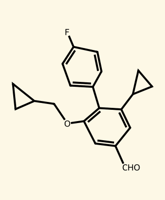 O=Cc1cc(OCC2CC2)c(-c2ccc(F)cc2)c(C2CC2)c1